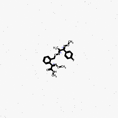 CNC(=O)/C(=N\OC)c1ccccc1CO/N=C(C)/C(=N/OC)c1ccc(F)cc1